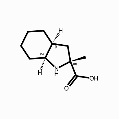 C[C@]1(C(=O)O)C[C@@H]2CCCC[C@@H]2N1